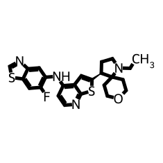 CCN1CC[C@H](c2cc3c(Nc4cc5ncsc5cc4F)ccnc3s2)C12CCOCC2